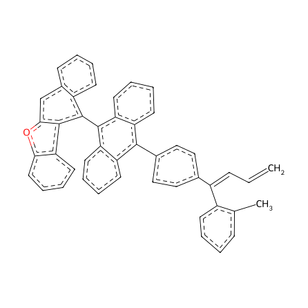 C=C/C=C(/c1ccc(-c2c3ccccc3c(-c3c4ccccc4cc4oc5ccccc5c34)c3ccccc23)cc1)c1ccccc1C